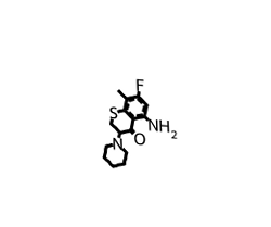 Cc1c(F)cc(N)c2c1SCC(N1CCCCC1)C2=O